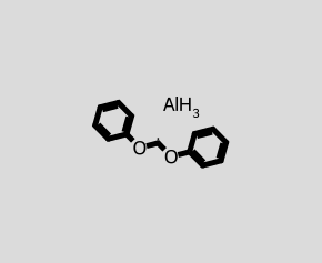 [AlH3].[CH](Oc1ccccc1)Oc1ccccc1